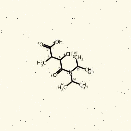 CC(C(=O)O)C(C)C(=O)N(C(C)C)C(C)C